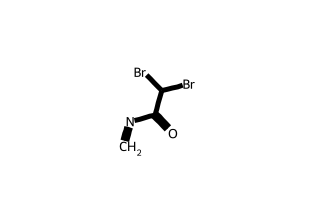 C=NC(=O)C(Br)Br